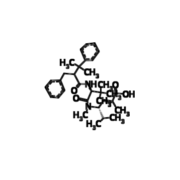 CC(=C[C@H](C(C)C)N(C)C(=O)[C@@H](NC(=O)C(Cc1ccccc1)C(C)(C)c1ccccc1)C(C)(C)C)C(=O)O